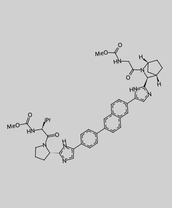 COC(=O)NCC(=O)N1[C@@H]2CC[C@@H](C2)[C@H]1c1ncc(-c2ccc3cc(-c4ccc(-c5cnc([C@@H]6CCCN6C(=O)[C@@H](NC(=O)OC)C(C)C)[nH]5)cc4)ccc3c2)[nH]1